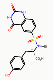 CCN([C@@H](Cc1ccc(O)cc1)C(=O)O)S(=O)(=O)c1ccc2[nH]c(=O)[nH]c(=O)c2c1